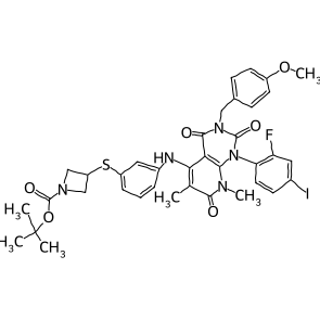 COc1ccc(Cn2c(=O)c3c(Nc4cccc(SC5CN(C(=O)OC(C)(C)C)C5)c4)c(C)c(=O)n(C)c3n(-c3ccc(I)cc3F)c2=O)cc1